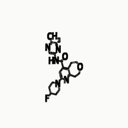 Cc1cnc(NC(=O)c2cc(N3CCC(F)CC3)nc3c2CCOCC3)cn1